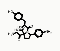 NCC(=O)C1(C(=O)O)CCC(c2ccc(N)cc2)N1C(=O)C(S)Cc1ccc(O)cc1